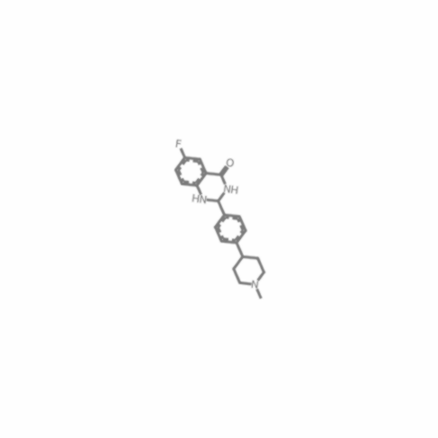 CN1CCC(c2ccc(C3NC(=O)c4cc(F)ccc4N3)cc2)CC1